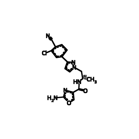 C[C@@H](Cn1ccc(-c2ccc(C#N)c(Cl)c2)n1)NC(=O)c1coc(N)n1